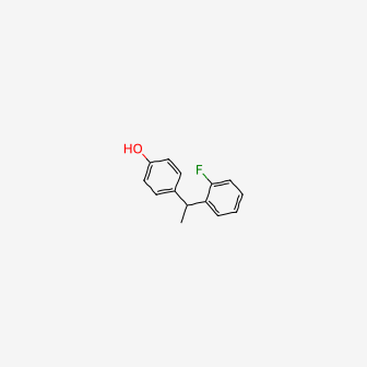 CC(c1ccc(O)cc1)c1ccccc1F